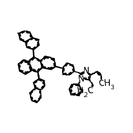 C=Cc1c(/C=C\C)nc(-c2ccc(-c3ccc4c(-c5ccc6ccccc6c5)c5ccccc5c(-c5ccc6ccccc6c5)c4c3)cc2)n1-c1ccccc1